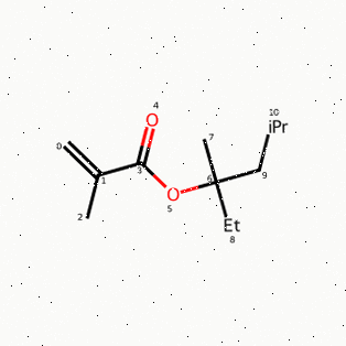 C=C(C)C(=O)OC(C)(CC)CC(C)C